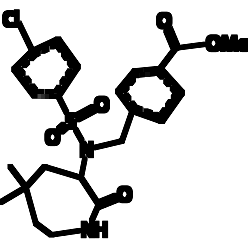 COC(=O)c1ccc(CN(C2CC(C)(C)CCNC2=O)S(=O)(=O)c2ccc(Cl)cc2)cc1